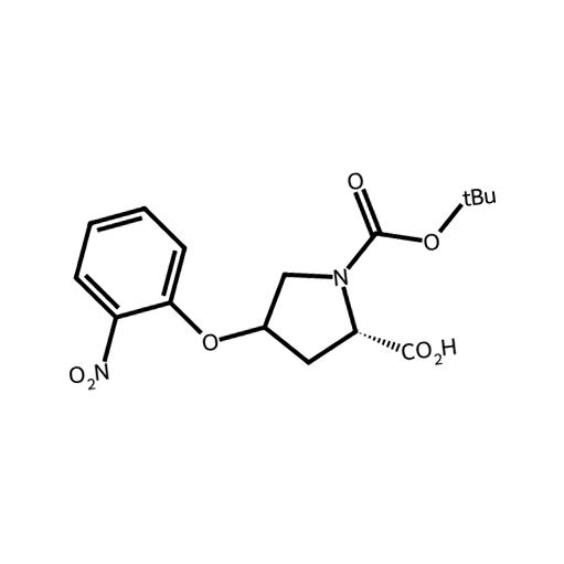 CC(C)(C)OC(=O)N1CC(Oc2ccccc2[N+](=O)[O-])C[C@H]1C(=O)O